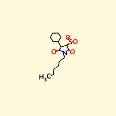 CCCCCCN1C(=O)C(=S(=O)=O)C(C2CCCCC2)C1=O